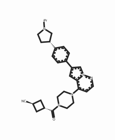 CC(C)N1CC[C@@H](c2ccc(-c3cc4c(N5CCN(C(=O)[C@H]6C[C@H](C#N)C6)CC5)ccnn4c3)cc2)C1